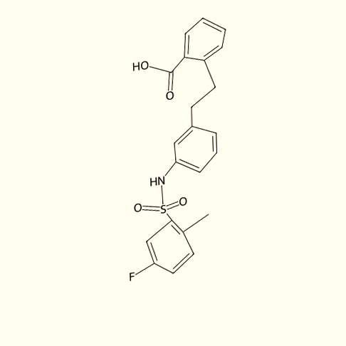 Cc1ccc(F)cc1S(=O)(=O)Nc1cccc(CCc2ccccc2C(=O)O)c1